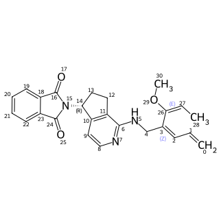 C=C/C=C(CNc1nccc2c1CC[C@H]2N1C(=O)c2ccccc2C1=O)\C(=C/C)OC